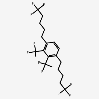 FC(F)(F)CCCCc1ccc(CCCCC(F)(F)F)c(C(F)(F)F)c1C(F)(F)F